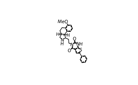 COc1cccc2c1CC[C@H]1CNC(CCn3c(=O)[nH]c4sc(-c5ccccc5)cc4c3=O)[C@@H]21